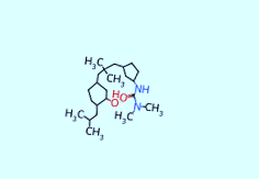 CC(C)CC1CCC(CC(C)(C)CC2CCC(NC(=O)N(C)C)C2)CC1O